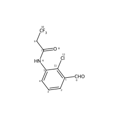 O=Cc1cccc(NC(=O)CC(F)(F)F)c1Cl